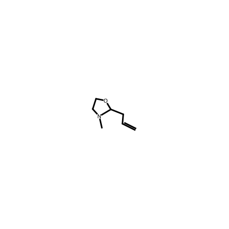 C=CCC1OCCN1C